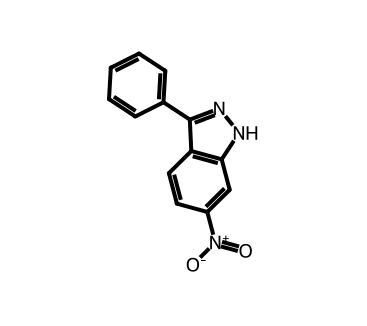 O=[N+]([O-])c1ccc2c(-c3ccccc3)n[nH]c2c1